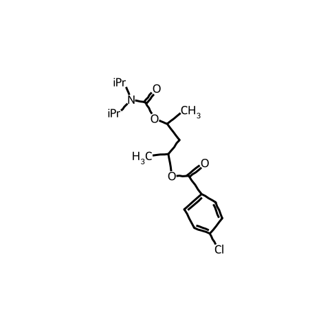 CC(CC(C)OC(=O)N(C(C)C)C(C)C)OC(=O)c1ccc(Cl)cc1